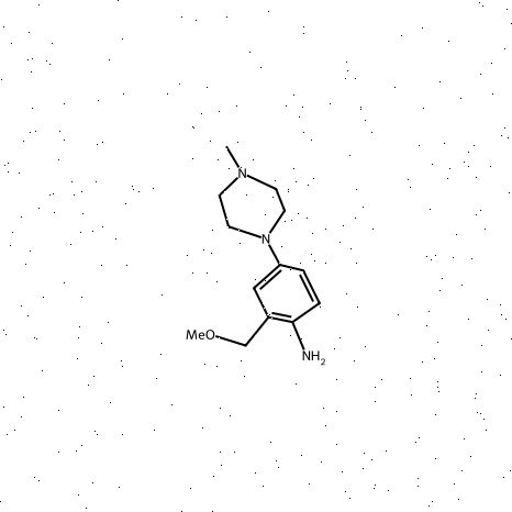 COCc1cc(N2CCN(C)CC2)ccc1N